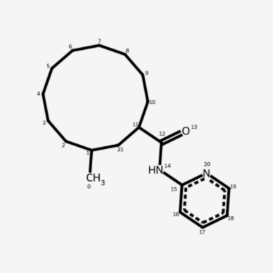 CC1CCCCCCCCCC(C(=O)Nc2ccccn2)C1